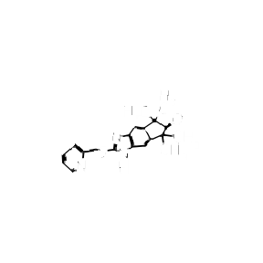 CC1(C)C(=O)C(C)(C)c2cc3[nH]c(SCc4ccccn4)nc3cc21